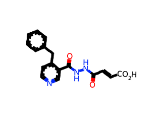 O=C(O)C=CC(=O)NNC(=O)c1cnccc1Cc1ccccc1